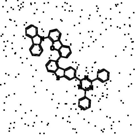 c1ccc(-c2nc(-c3ccccc3)nc(-c3ccc4c(c3)sc3cccc(-c5cccc6c5oc5c(-n7c8ccccc8c8ccccc87)cccc56)c34)n2)cc1